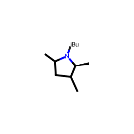 CCC(C)N1C(C)CC(C)[C@@H]1C